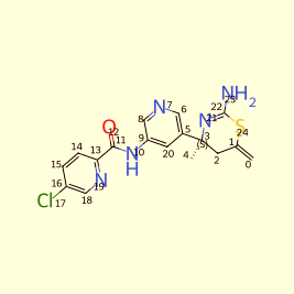 C=C1C[C@@](C)(c2cncc(NC(=O)c3ccc(Cl)cn3)c2)N=C(N)S1